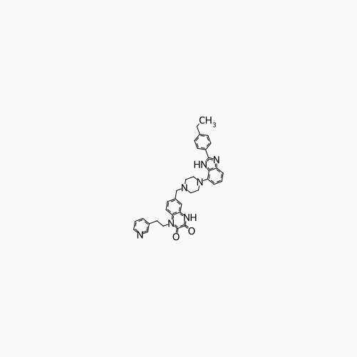 CCc1ccc(-c2nc3cccc(N4CCN(Cc5ccc6c(c5)[nH]c(=O)c(=O)n6CCc5cccnc5)CC4)c3[nH]2)cc1